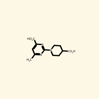 Cc1cc(C(=O)O)nc(N2CCC(C(=O)O)CC2)n1